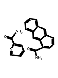 NC(=O)c1cccc2cc3ccccc3cc12.NC(=O)c1ccccn1